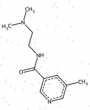 Cc1cncc(C(=O)NCCN(C)C)c1